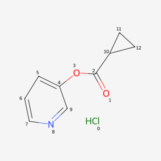 Cl.O=C(Oc1cccnc1)C1CC1